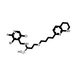 O=C(O)[C@H](CCOCCCCc1ccc2c(n1)NCCC2)NCc1c(Cl)cnc(F)c1Br